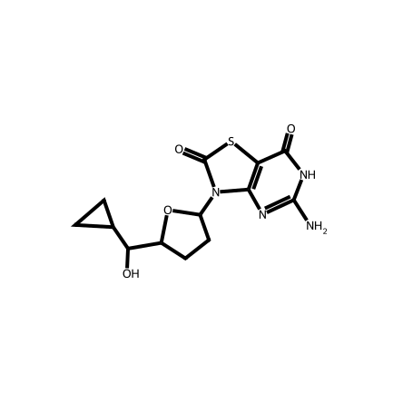 Nc1nc2c(sc(=O)n2C2CCC(C(O)C3CC3)O2)c(=O)[nH]1